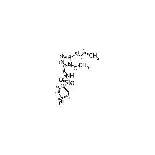 C=CCSc1nnc(CNS(=O)(=O)c2ccc(Cl)cc2)n1CC